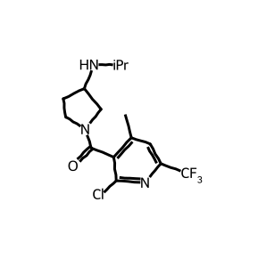 Cc1cc(C(F)(F)F)nc(Cl)c1C(=O)N1CCC(NC(C)C)C1